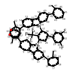 Cc1ccccc1-c1ccc2c3ccc(-c4ccccc4C)cc3n(-c3cc(-c4cc(F)cc(F)c4)cc(-n4c5cc(-c6ccccc6C)ccc5c5ccc(-c6ccccc6C)cc54)c3C(F)(F)F)c2c1